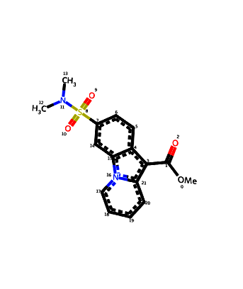 COC(=O)c1c2ccc(S(=O)(=O)N(C)C)cc2n2ccccc12